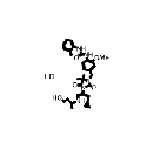 COc1cc(CN2C(=O)N(C(CNC(C)CCO)CC3CC3)C(=O)C2(C)C)ccc1NC(=O)Nc1ccccc1C.Cl